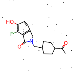 CC(=O)C1CCC(CN2Cc3ccc(O)c(F)c3C2=O)CC1